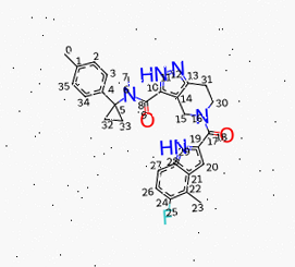 Cc1ccc(C2(N(C)C(=O)c3[nH]nc4c3CN(C(=O)c3cc5c(C)c(F)ccc5[nH]3)CC4)CC2)cc1